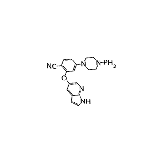 N#Cc1ccc(N2CCN(P)CC2)cc1Oc1cnc2[nH]ccc2c1